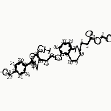 CCOC(=O)CCN1CCCc2c(OCCc3nc(-c4ccc(CC)cc4)oc3C)cccc21